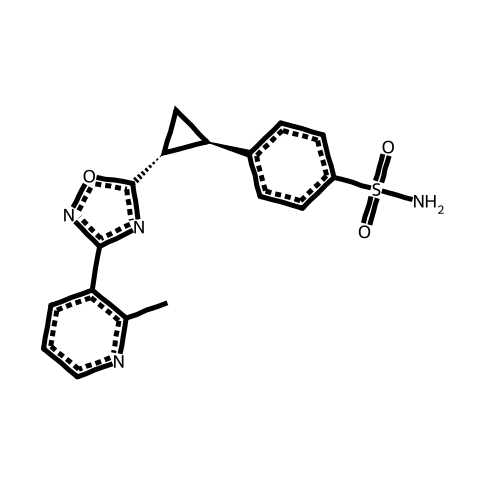 Cc1ncccc1-c1noc([C@@H]2C[C@H]2c2ccc(S(N)(=O)=O)cc2)n1